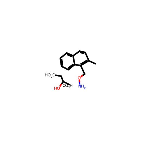 Cc1ccc2ccccc2c1CON.O=C(O)CC(O)C(=O)O